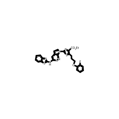 CCOC(=O)c1nc(-n2ccc3cc(Nc4nc5ccccc5s4)nnc32)sc1CCCOc1ccccc1F